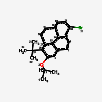 C[SiH](C)Oc1cc2ccc3c(Br)ccc4ccc(c1C(C)(C)C)c2c43